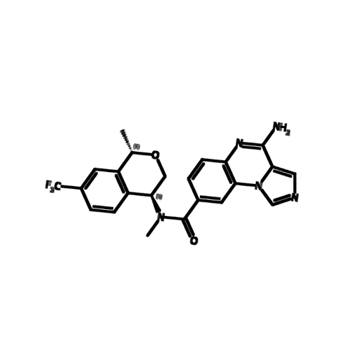 C[C@@H]1OC[C@@H](N(C)C(=O)c2ccc3nc(N)c4cncn4c3c2)c2ccc(C(F)(F)F)cc21